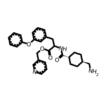 NC[C@H]1CC[C@H](C(=O)NC(Cc2cccc(Oc3ccccc3)c2)C(=O)OCc2cccnc2)CC1